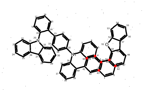 c1ccc(-c2cccc(N(c3ccc(-c4ccccc4-n4c5ccccc5c5ccccc54)cc3)c3ccccc3-c3ccc(-c4cccc5c4oc4ccccc45)cc3)c2)cc1